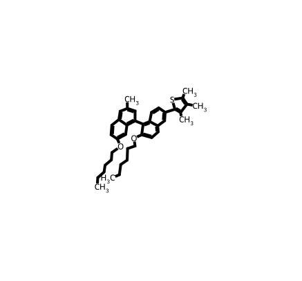 CCCCCCOc1ccc2cc(C)cc(-c3c(OCCCCCC)ccc4cc(-c5sc(C)c(C)c5C)ccc34)c2c1